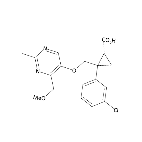 COCc1nc(C)ncc1OCC1(c2cccc(Cl)c2)CC1C(=O)O